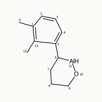 Cc1cccc([CH]2CCC[O][AlH]2)c1C